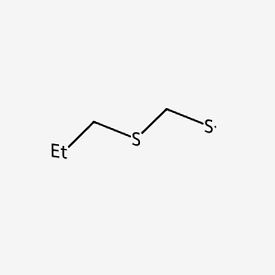 CCCSC[S]